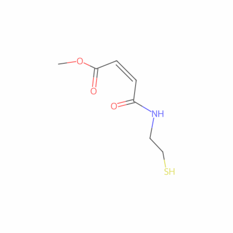 COC(=O)/C=C\C(=O)NCCS